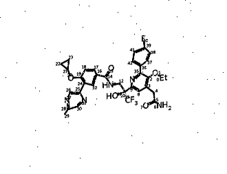 CCOc1c(CC(N)=O)cc([C@@](O)(CNC(=O)c2ccc(OC3CC3)c(-c3cnc(C)cn3)c2)C(F)(F)F)nc1-c1ccc(F)cc1